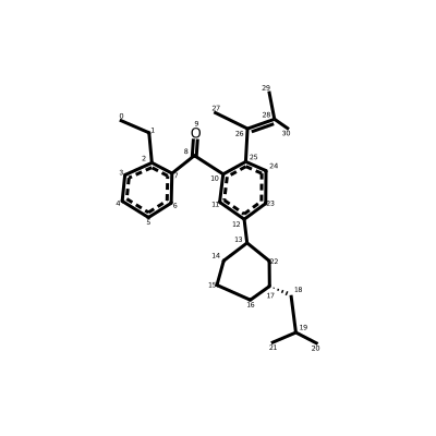 CCc1ccccc1C(=O)c1cc(C2CCC[C@@H](CC(C)C)C2)ccc1C(C)=C(C)C